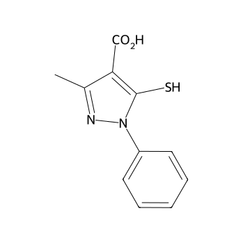 Cc1nn(-c2ccccc2)c(S)c1C(=O)O